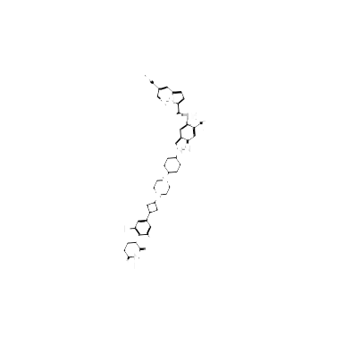 CC(C)(O)c1cc2nn(C3CCC(N4CCN(C5CC(c6cc(F)c([C@@H]7CCC(=O)NC7=O)c(F)c6)C5)CC4)CC3)cc2cc1NC(=O)c1ccc2cc(C#N)cnn12